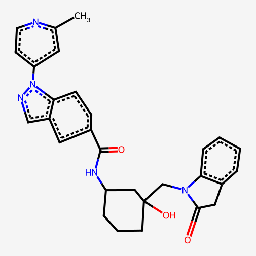 Cc1cc(-n2ncc3cc(C(=O)NC4CCCC(O)(CN5C(=O)Cc6ccccc65)C4)ccc32)ccn1